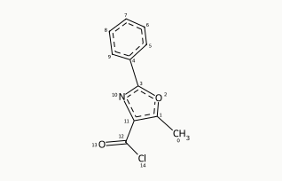 Cc1oc(-c2ccccc2)nc1C(=O)Cl